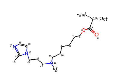 CCCCCCCCC(CCCCCC)C(=O)OCCCCCCN(CC)CCCn1ccnc1C